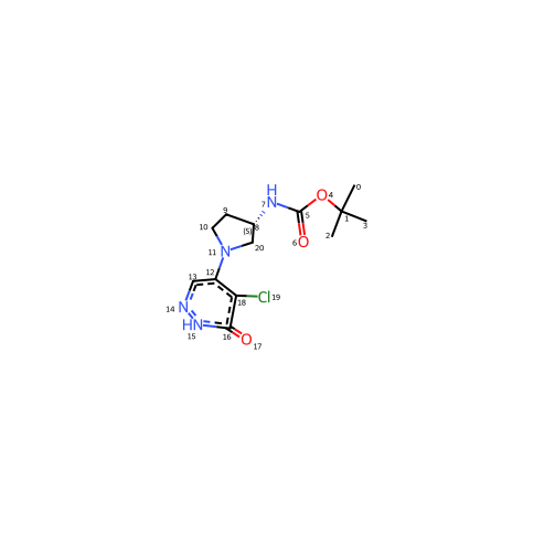 CC(C)(C)OC(=O)N[C@H]1CCN(c2cn[nH]c(=O)c2Cl)C1